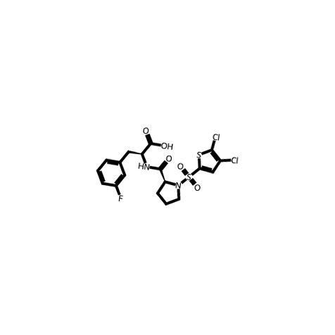 O=C(O)[C@H](Cc1cccc(F)c1)NC(=O)[C@@H]1CCCN1S(=O)(=O)c1cc(Cl)c(Cl)s1